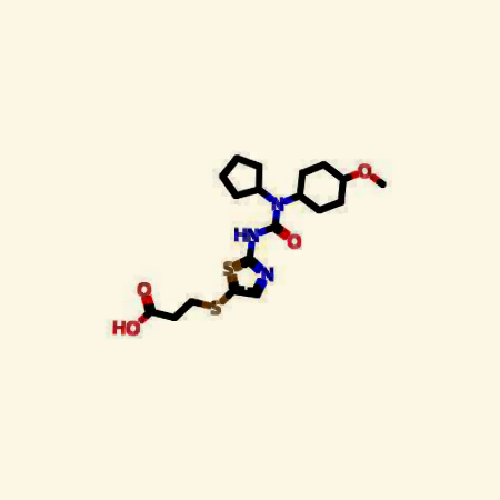 COC1CCC(N(C(=O)Nc2ncc(SCCC(=O)O)s2)C2CCCC2)CC1